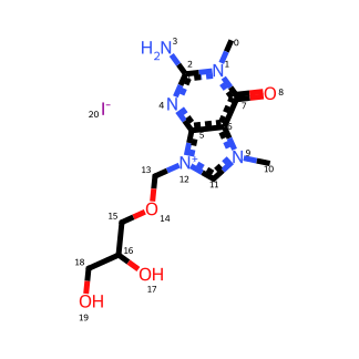 Cn1c(N)nc2c(c1=O)n(C)c[n+]2COCC(O)CO.[I-]